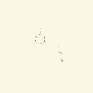 N#CC=C1CCN(c2cc(F)cc(F)c2)CC1